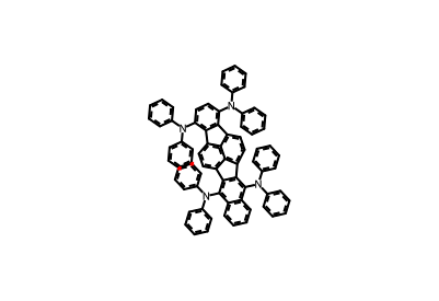 c1ccc(N(c2ccccc2)c2ccc(N(c3ccccc3)c3ccccc3)c3c2-c2ccc4c5c(ccc-3c25)-c2c-4c(N(c3ccccc3)c3ccccc3)c3ccccc3c2N(c2ccccc2)c2ccccc2)cc1